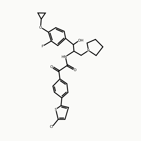 O=C(NC(CN1CCCC1)C(O)c1ccc(OC2CC2)c(F)c1)C(=O)c1ccc(-c2ccc(Cl)s2)cc1